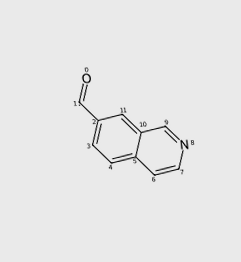 O=[C]c1ccc2ccncc2c1